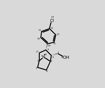 CN1C2CCC1[C@@H](CO)[C@@H](c1ccc(Cl)cc1)C2